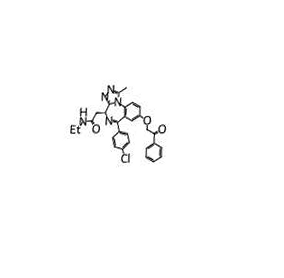 CCNC(=O)C[C@@H]1N=C(c2ccc(Cl)cc2)c2cc(OCC(=O)c3ccccc3)ccc2-n2c(C)nnc21